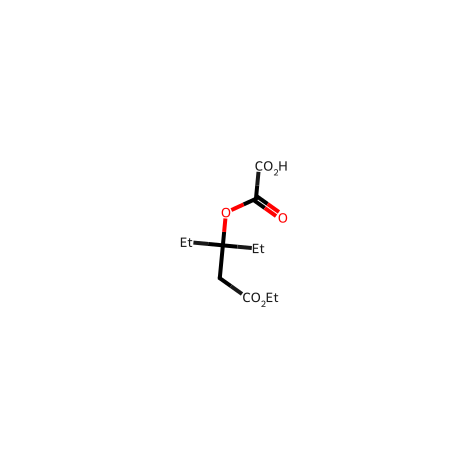 CCOC(=O)CC(CC)(CC)OC(=O)C(=O)O